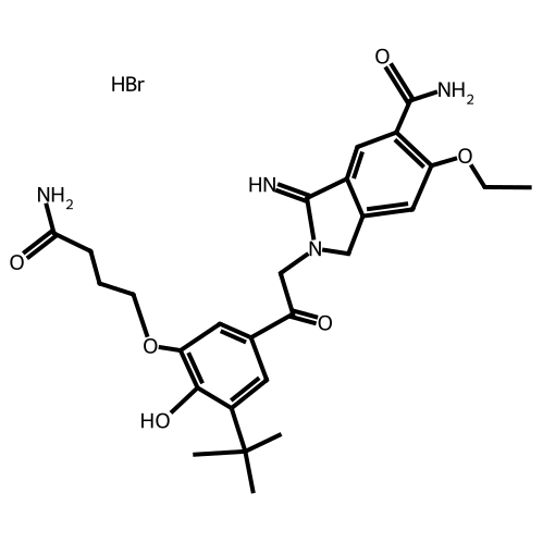 Br.CCOc1cc2c(cc1C(N)=O)C(=N)N(CC(=O)c1cc(OCCCC(N)=O)c(O)c(C(C)(C)C)c1)C2